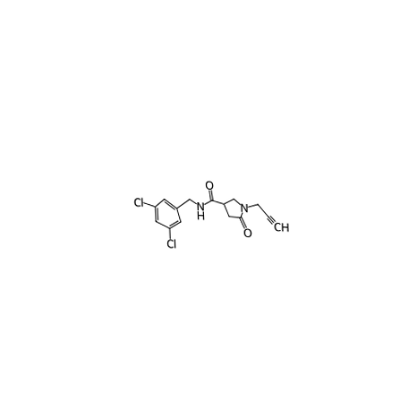 C#CCN1CC(C(=O)NCc2cc(Cl)cc(Cl)c2)CC1=O